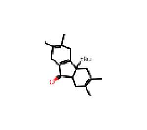 CC1=C(C)CC2=C(C1)C(=O)C1CC(C)=C(C)CC21C(C)(C)C